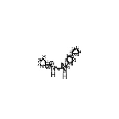 O=C(NCCc1nc(-c2ccc(-c3ccccc3)cc2)c[nH]1)OC1CCCCC1